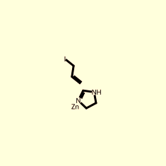 C1=NCCN1.C=CCI.[Zn]